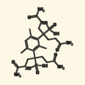 Cc1cc(C)c(C(CCC(N)=O)(CCC(N)=O)P(=O)(O)O)c(C)c1C(CCC(N)=O)(CCC(N)=O)P(=O)(O)O